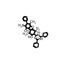 Bc1c(-c2ccccc2)c(C)c2oc3c(C)c(C4N=C(C5=CC=CCC5)NC(C5C=CC=CC5)N4)c(O)c(C)c3c2c1C